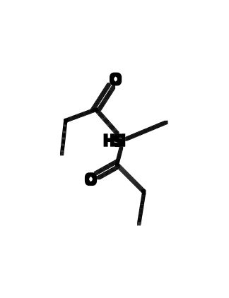 CCC(=O)[SiH](C)C(=O)CC